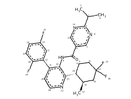 CC(C)c1ncc(C(=O)Nc2c(-c3cc(F)ccc3F)ccnc2[C@@H]2CCC(F)(F)C[C@H]2C)cn1